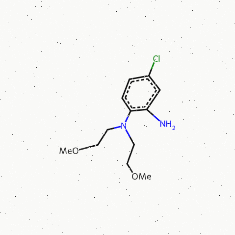 COCCN(CCOC)c1ccc(Cl)cc1N